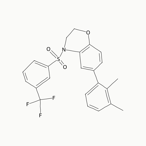 Cc1cccc(-c2ccc3c(c2)N(S(=O)(=O)c2cccc(C(F)(F)F)c2)CCO3)c1C